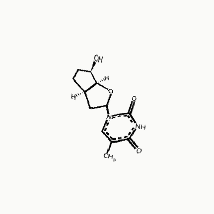 Cc1cn(C2C[C@H]3CC[C@@H](O)[C@H]3O2)c(=O)[nH]c1=O